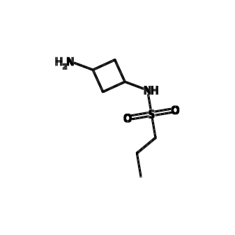 CCCS(=O)(=O)NC1CC(N)C1